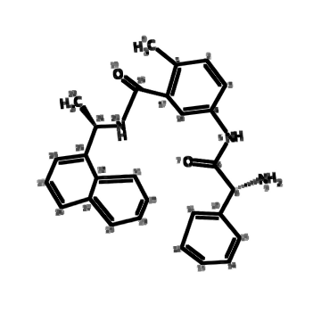 Cc1ccc(NC(=O)[C@H](N)c2ccccc2)cc1C(=O)N[C@H](C)c1cccc2ccccc12